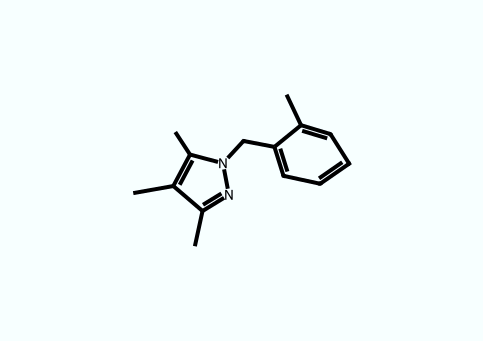 Cc1ccccc1Cn1nc(C)c(C)c1C